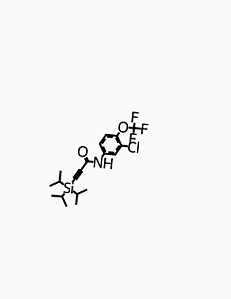 CC(C)[Si](C#CC(=O)Nc1ccc(OC(F)(F)F)c(Cl)c1)(C(C)C)C(C)C